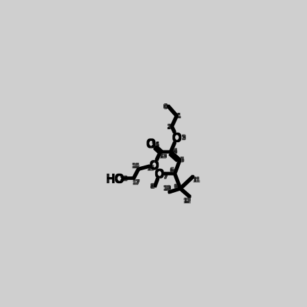 CCCOC(=CC(OC)C(C)(C)C)C(=O)OCCO